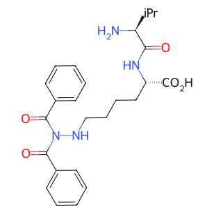 CC(C)[C@H](N)C(=O)N[C@@H](CCCCNN(C(=O)c1ccccc1)C(=O)c1ccccc1)C(=O)O